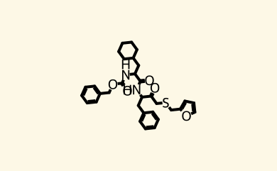 O=C(NC(CC1CCCCC1)C(=O)NC(Cc1ccccc1)C(=O)CSCc1ccco1)OCc1ccccc1